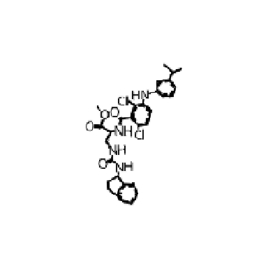 COC(=O)C(CNC(=O)N[C@@H]1CCc2ccccc21)NC(=O)c1c(Cl)ccc(Nc2cccc(C(C)C)c2)c1Cl